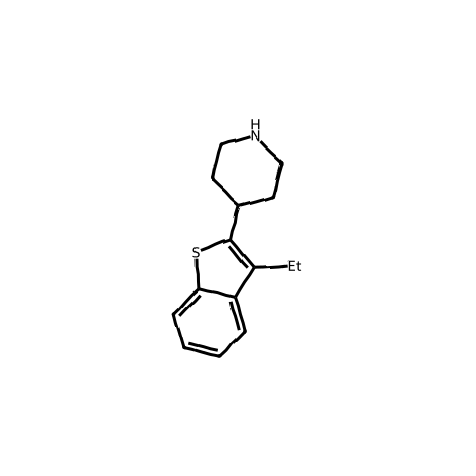 CCc1c(C2CCNCC2)sc2ccccc12